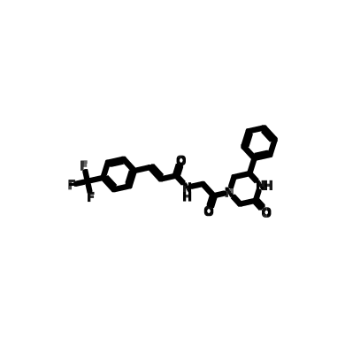 O=C(C=Cc1ccc(C(F)(F)F)cc1)NCC(=O)N1CC(=O)NC(c2ccccc2)C1